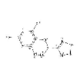 CC(Oc1c(F)cc(F)cc1Cl)C1=NCCN1